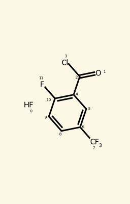 F.O=C(Cl)c1cc(C(F)(F)F)ccc1F